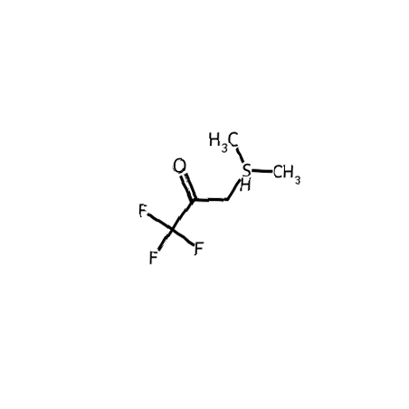 C[SH](C)CC(=O)C(F)(F)F